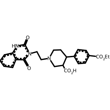 CCOC(=O)c1ccc(C2CCN(CCn3c(=O)[nH]c4ccccc4c3=O)CC2C(=O)O)cc1